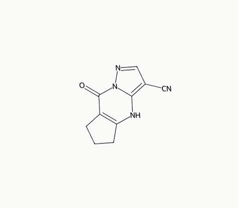 N#Cc1cnn2c(=O)c3c([nH]c12)CCC3